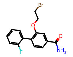 NC(=O)c1ccc(-c2ccccc2F)c(OCCBr)c1